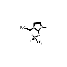 CN1C=CN(CC(F)(F)F)C1OS(=O)(=O)C(F)(F)F